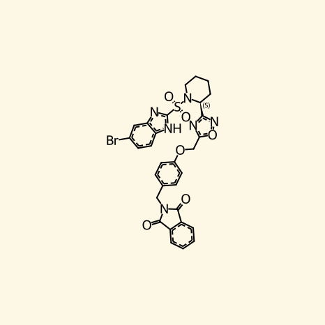 O=C1c2ccccc2C(=O)N1Cc1ccc(OCc2nc([C@@H]3CCCCN3S(=O)(=O)c3nc4cc(Br)ccc4[nH]3)no2)cc1